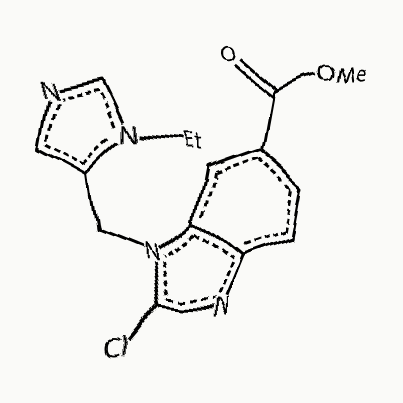 CCn1cncc1Cn1c(Cl)nc2ccc(C(=O)OC)cc21